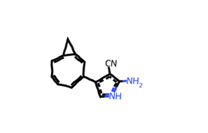 N#Cc1c(C2=C/C=C\C=C3\C\C3=C\2)c[nH]c1N